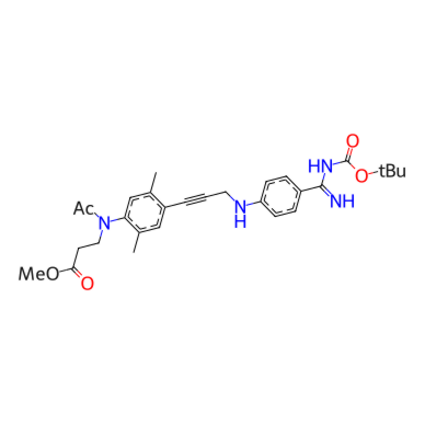 COC(=O)CCN(C(C)=O)c1cc(C)c(C#CCNc2ccc(C(=N)NC(=O)OC(C)(C)C)cc2)cc1C